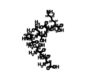 CC(C)C[C@H](N)C(=O)O.C[C@@H](O)[C@H](N)C(=O)O.C[C@H](N)C(=O)O.NCCCC[C@H](N)C(=O)O.N[C@@H](CC(=O)O)C(=O)O.O=C(O)[C@@H]1CCCN1